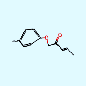 C/C=C/C(=O)COc1ccc(C)cc1